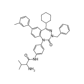 Cc1cccc(-c2ccc3c(c2)C(C2CCCCC2)=NN(Cc2ccccc2)C(=O)N3c2ccc(NC(=O)C(N)C(C)C)cc2)c1